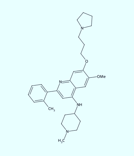 COc1cc2c(NC3CCN(C)CC3)cc(-c3ccccc3C)nc2cc1OCCCN1CCCC1